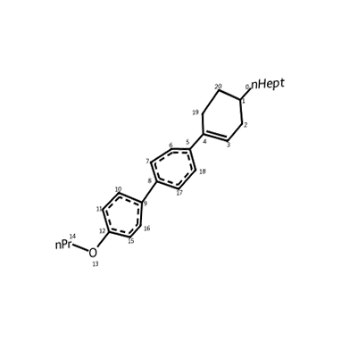 CCCCCCCC1CC=C(c2ccc(-c3ccc(OCCC)cc3)cc2)CC1